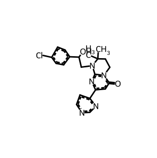 CC1(C)CCn2c(nc(-c3ccncn3)cc2=O)N1CC(O)c1ccc(Cl)cc1